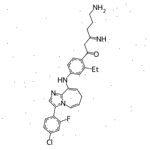 CCc1cc(NC2=CCC=Cn3c(-c4ccc(Cl)cc4F)cnc32)ccc1C(=O)CC(=N)CCCN